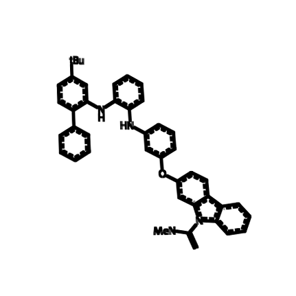 C=C(NC)n1c2ccccc2c2ccc(Oc3cccc(Nc4ccccc4Nc4cc(C(C)(C)C)ccc4-c4ccccc4)c3)cc21